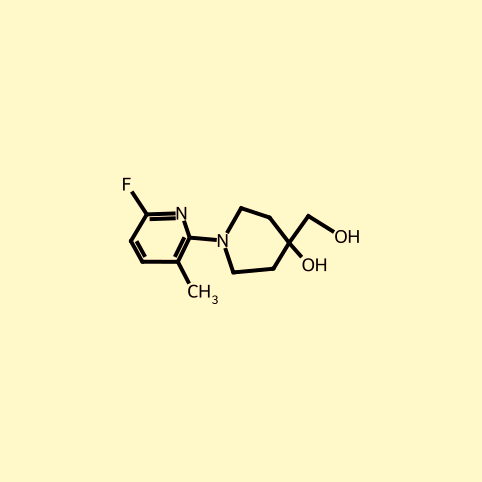 Cc1ccc(F)nc1N1CCC(O)(CO)CC1